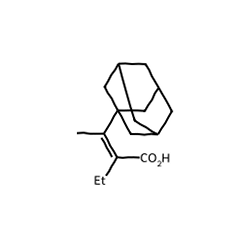 CCC(C(=O)O)=C(C)C12CC3CC(CC(C3)C1)C2